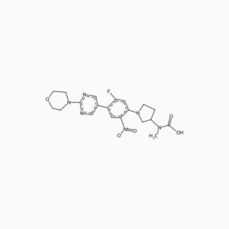 CN(C(=O)O)C1CCN(c2cc(F)c(-c3cnc(N4CCOCC4)nc3)cc2[N+](=O)[O-])C1